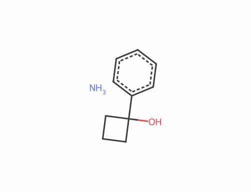 N.OC1(c2ccccc2)CCC1